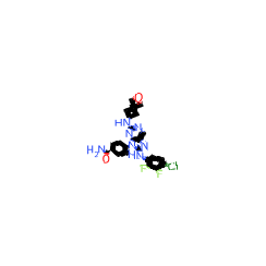 NC(=O)[C@H]1CC[C@@H](n2c(Nc3ccc(Cl)c(F)c3F)nc3cnc(NC4CC5(COC5)C4)nc32)CC1